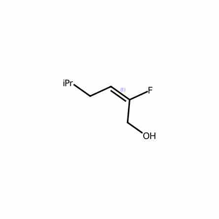 CC(C)C/C=C(/F)CO